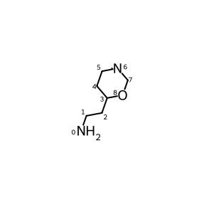 NCCC1CC[N]CO1